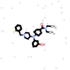 CCN(CC)C(=O)c1ccc(N(c2cccc(O)c2)C2CCN(Cc3ccccc3F)CC2)cc1